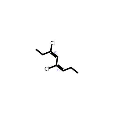 CC/C=C(Cl)\C=C(\Cl)CC